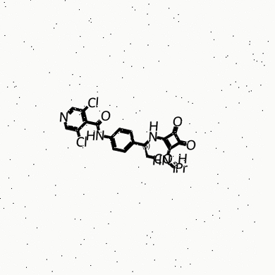 CC(C)Nc1c(N[C@@H](CC(=O)O)c2ccc(NC(=O)c3c(Cl)cncc3Cl)cc2)c(=O)c1=O